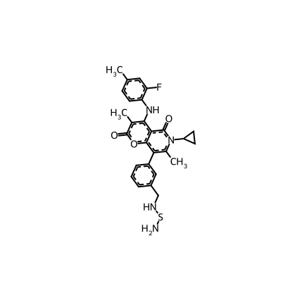 Cc1ccc(Nc2c(C)c(=O)oc3c(-c4cccc(CNSN)c4)c(C)n(C4CC4)c(=O)c23)c(F)c1